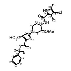 COC1CN(c2nc(C(=O)NC(C)(C)c3ccccc3)c(C(=O)O)s2)CCC1NC(=O)c1[nH]c(C)c(Cl)c1Cl